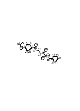 CC(C)Oc1ccc(C(=O)CCCC(=O)C(=O)OCc2ccccc2)cc1